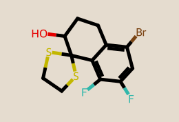 OC1CCc2c(Br)cc(F)c(F)c2C12SCCS2